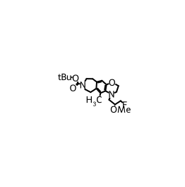 CO[C@@H](CF)CN1CCOc2cc3c(c(C)c21)CCN(C(=O)OC(C)(C)C)CC3